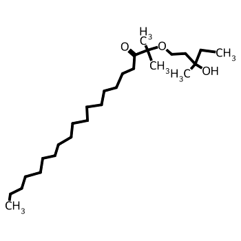 CCCCCCCCCCCCCCCCCC(=O)C(C)(C)OCCC(C)(O)CC